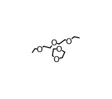 C1COCCO1.CCOCCOCCOCC